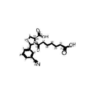 N#Cc1cccc(C2SC[C@@H](C(=O)O)N2C(=O)CCCCCC(=O)O)c1